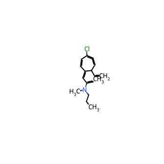 C=CC1C=C=C(Cl)C=C/C1=C/C(=C\C)N(C)CCC